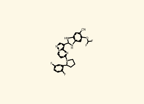 N#Cc1cc2c(cc1OC(F)F)NC(c1cnn3ccc(N4CCCC4c4cc(F)ccc4F)nc13)N2